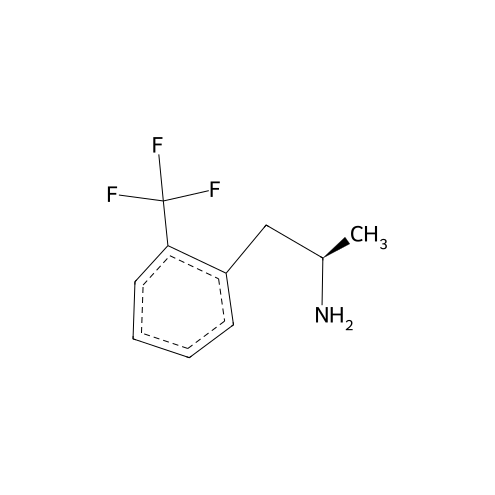 C[C@@H](N)Cc1ccccc1C(F)(F)F